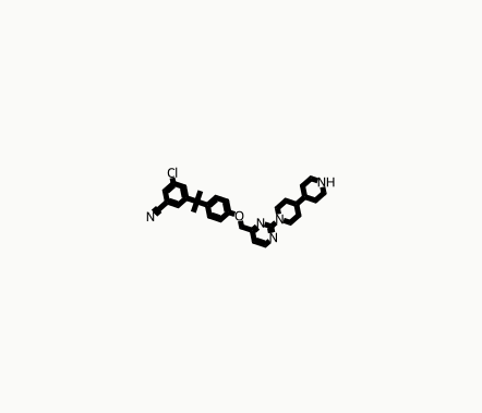 CC(C)(c1ccc(OCc2ccnc(N3CCC(C4CCNCC4)CC3)n2)cc1)c1cc(Cl)cc(C#N)c1